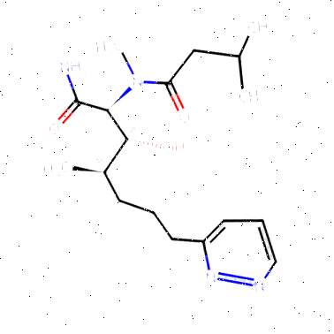 CC(C)CC(=O)N(C)[C@H](C(N)=O)[C@H](O)[C@H](C)CCCc1cccnn1